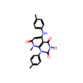 CCn1c(=O)c2c(Nc3ccc(C)cc3)cc(=O)n(C)c2n(-c2ccc(C)cc2)c1=O